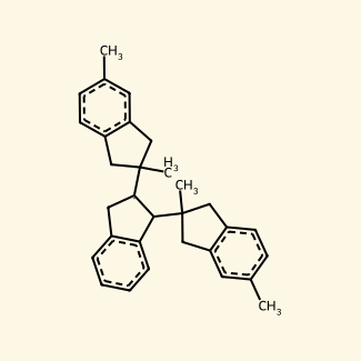 Cc1ccc2c(c1)CC(C)([C]1Cc3ccccc3C1C1(C)Cc3ccc(C)cc3C1)C2